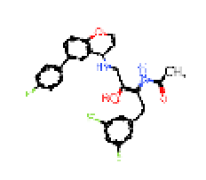 CC(=O)NC(Cc1cc(F)cc(F)c1)C(O)CNC1CCOc2ccc(-c3ccc(F)cc3)cc21